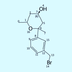 CC1C[C@@H](O)CC(C)(c2cccc(CBr)c2)O1